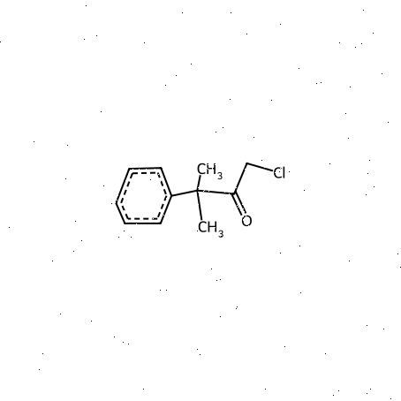 CC(C)(C(=O)CCl)c1ccccc1